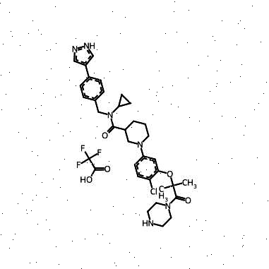 CC(C)(Oc1cc(N2CCCC(C(=O)N(Cc3ccc(-c4cn[nH]c4)cc3)C3CC3)C2)ccc1Cl)C(=O)N1CCNCC1.O=C(O)C(F)(F)F